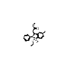 CCOP1(=O)c2ccc(C)cc2C(CC(=O)OC)N1c1ccccc1